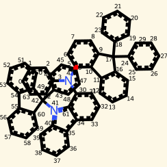 c1ccc(N(c2cccc3c2-c2ccccc2C3(c2ccccc2)c2ccccc2)c2cccc3c4ccccc4n(C4(c5ccccc5)c5ccccc5-c5ccccc54)c23)cc1